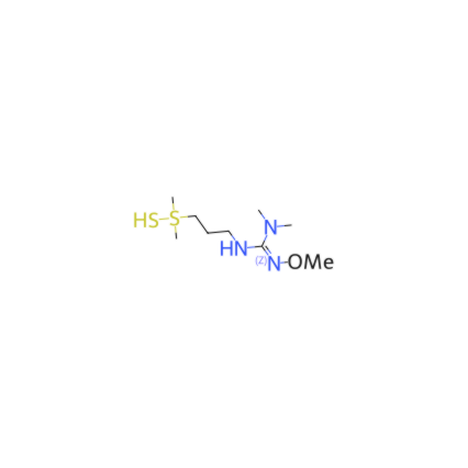 CO/N=C(/NCCCS(C)(C)S)N(C)C